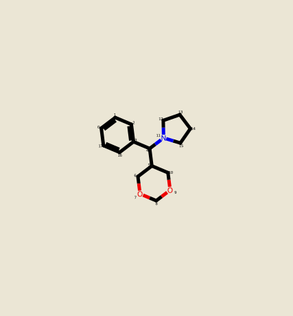 c1ccc(C(C2COCOC2)N2CCCC2)cc1